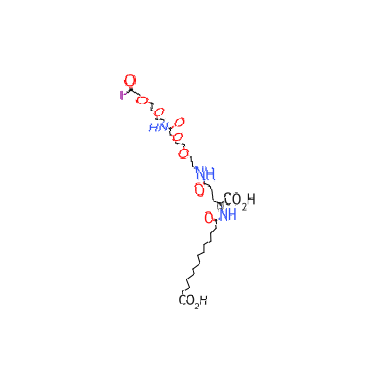 O=C(O)CCCCCCCCCCCCC(=O)N[C@@H](CCC(=O)NCCOCCOCC(=O)NCCOCCOCC(=O)I)C(=O)O